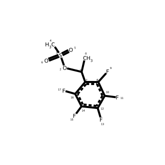 CC(OS(C)(=O)=O)c1c(F)c(F)c(F)c(F)c1F